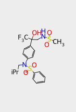 CC(C)CN(c1ccc(C(O)(CNS(C)(=O)=O)C(F)(F)F)cc1)S(=O)(=O)c1ccccc1